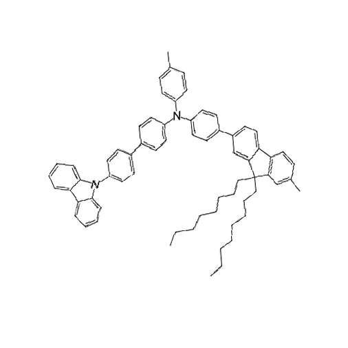 CCCCCCCCC1(CCCCCCCC)c2cc(C)ccc2-c2ccc(-c3ccc(N(c4ccc(C)cc4)c4ccc(-c5ccc(-n6c7ccccc7c7ccccc76)cc5)cc4)cc3)cc21